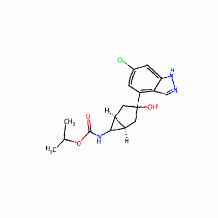 CC(C)OC(=O)NC1[C@H]2CC(O)(c3cc(Cl)cc4[nH]ncc34)C[C@@H]12